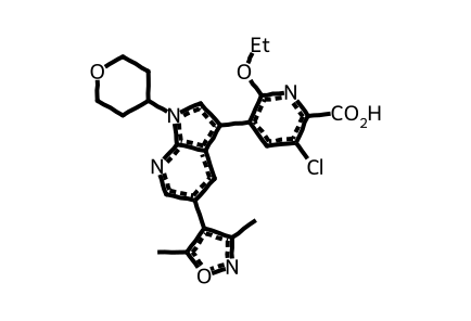 CCOc1nc(C(=O)O)c(Cl)cc1-c1cn(C2CCOCC2)c2ncc(-c3c(C)noc3C)cc12